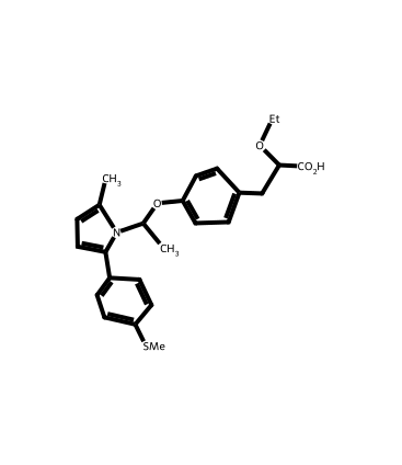 CCOC(Cc1ccc(OC(C)n2c(C)ccc2-c2ccc(SC)cc2)cc1)C(=O)O